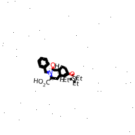 CC[Si](CC)(CC)OC1=C[C@@H]2C[C@@H](C(=O)O)N(Cc3ccccc3)C(=O)[C@@H]2CC1